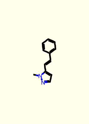 Cn1nccc1C=Cc1ccccc1